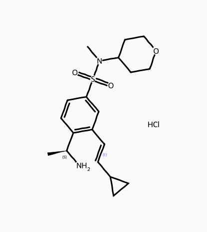 C[C@H](N)c1ccc(S(=O)(=O)N(C)C2CCOCC2)cc1/C=C/C1CC1.Cl